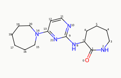 O=C1NCCCCC1Nc1nccc(N2CCCCCC2)n1